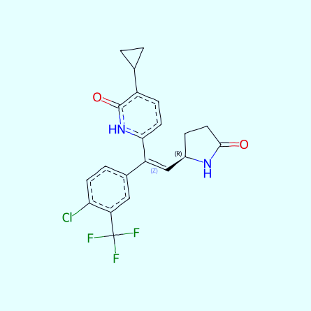 O=C1CC[C@H](/C=C(/c2ccc(Cl)c(C(F)(F)F)c2)c2ccc(C3CC3)c(=O)[nH]2)N1